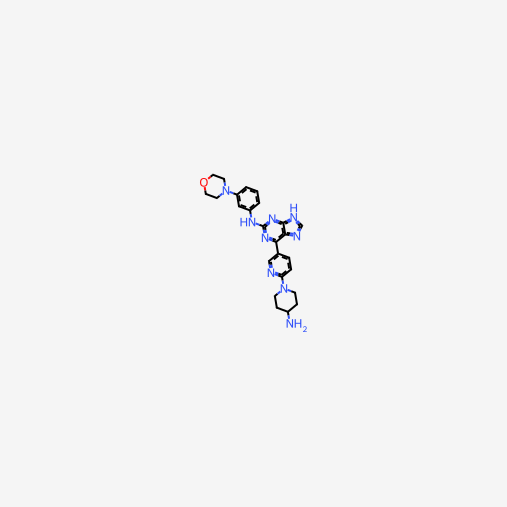 NC1CCN(c2ccc(-c3nc(Nc4cccc(N5CCOCC5)c4)nc4[nH]cnc34)cn2)CC1